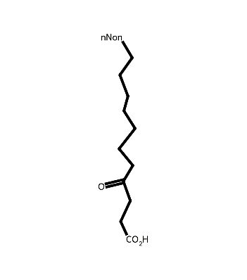 CCCCCCCCCCCCCCCCC(=O)CCC(=O)O